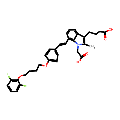 Cc1c(CCCC(=O)O)c2cccc(C=Cc3ccc(OCCCCOc4c(F)cccc4F)cc3)c2n1CC(=O)O